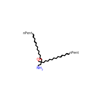 CCCCCC=CCC=CCCCCCCCCC(CO)(CCN)CCCCCCCCC=CCC=CCCCCC